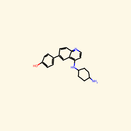 NC1CCC(Nc2[c]cnc3ccc(-c4ccc(O)cc4)cc23)CC1